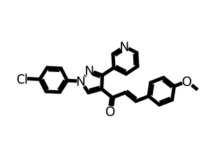 COc1ccc(C=CC(=O)c2cn(-c3ccc(Cl)cc3)nc2-c2cccnc2)cc1